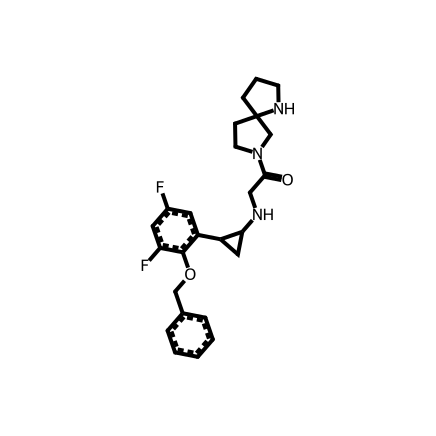 O=C(CNC1CC1c1cc(F)cc(F)c1OCc1ccccc1)N1CCC2(CCCN2)C1